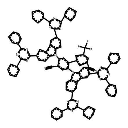 N#Cc1cc(-c2cc(-n3c4ccc(-c5nc(-c6ccccc6)nc(-c6ccccc6)n5)cc4c4cc(-c5nc(-c6ccccc6)nc(-c6ccccc6)n5)ccc43)c(C#N)cc2-n2c3ccc(-c4nc(-c5ccccc5)nc(-c5ccccc5)n4)cc3c3cc(-c4nc(-c5ccccc5)nc(-c5ccccc5)n4)ccc32)cc(C(F)(F)F)c1